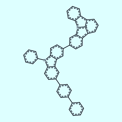 c1ccc(-c2ccc(-c3ccc4c(c3)c3cc(-c5ccc6c7cccc8c9ccccc9n(c6c5)c87)ccc3n4-c3ccccc3)cc2)cc1